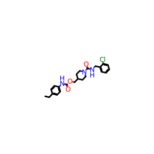 CCc1ccc(NC(=O)OCC2CCN(C(=O)NCc3ccccc3Cl)CC2)cc1